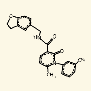 Cc1ccc(C(=O)NCc2ccc3c(c2)CCO3)c(=O)n1-c1cccc(C#N)c1